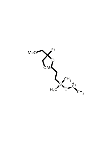 CCC(COC)(COC)OCCC[Si](C)(C)O[SiH2]C